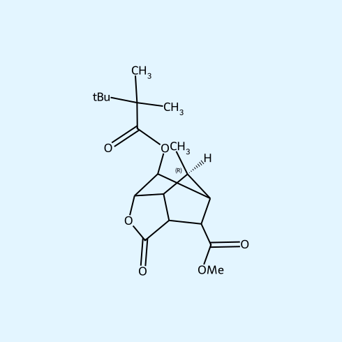 COC(=O)C1C2C(=O)OC3C(OC(=O)C(C)(C)C(C)(C)C)C1[C@H](C)C32